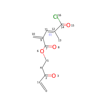 C=CC(=O)CCOC(=O)C(=C)/C=C(\C)C(=O)Cl